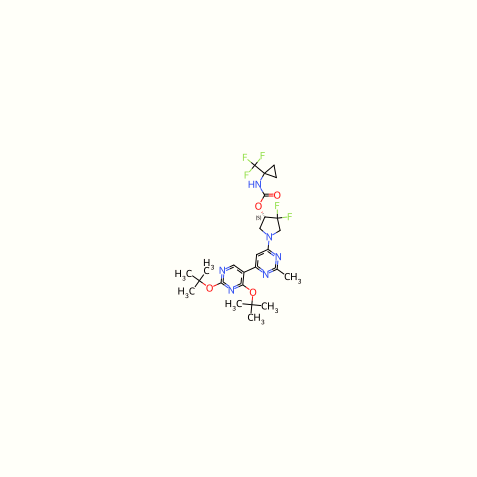 Cc1nc(-c2cnc(OC(C)(C)C)nc2OC(C)(C)C)cc(N2C[C@H](OC(=O)NC3(C(F)(F)F)CC3)C(F)(F)C2)n1